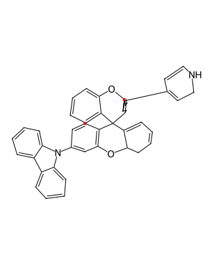 C1=CCC2Oc3cc(-n4c5ccccc5c5ccccc54)ccc3C3(C2=C1)C1=C(C=C(C2=CCNC=C2)CC1)Oc1ccccc13